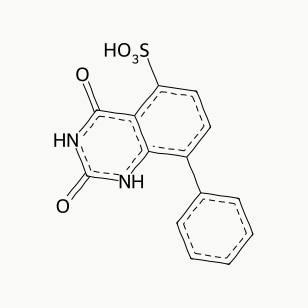 O=c1[nH]c(=O)c2c(S(=O)(=O)O)ccc(-c3ccccc3)c2[nH]1